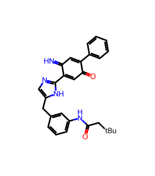 CC(C)(C)CC(=O)Nc1cccc(Cc2cnc(C3=CC(=O)C(c4ccccc4)=CC3=N)[nH]2)c1